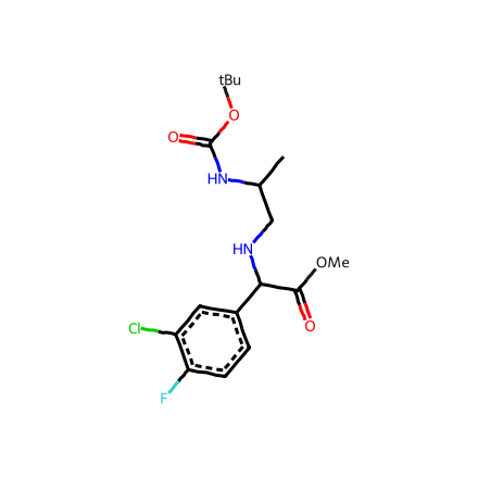 COC(=O)C(NCC(C)NC(=O)OC(C)(C)C)c1ccc(F)c(Cl)c1